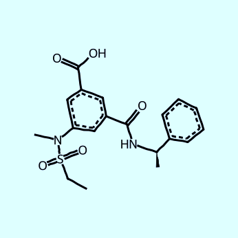 CCS(=O)(=O)N(C)c1cc(C(=O)O)cc(C(=O)N[C@H](C)c2ccccc2)c1